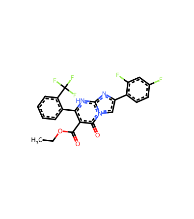 CCOC(=O)c1c(-c2ccccc2C(F)(F)F)[nH]c2nc(-c3ccc(F)cc3F)cn2c1=O